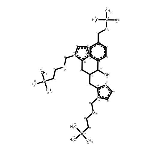 CC(C)(C)[Si](C)(C)OCc1ccc(C(O)C(Cc2nccn2COCC[Si](C)(C)C)Cc2nccn2COCC[Si](C)(C)C)cc1